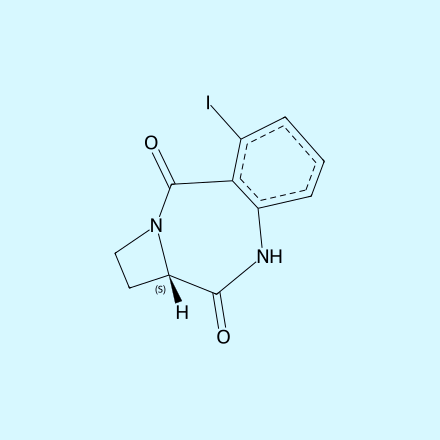 O=C1Nc2cccc(I)c2C(=O)N2CC[C@@H]12